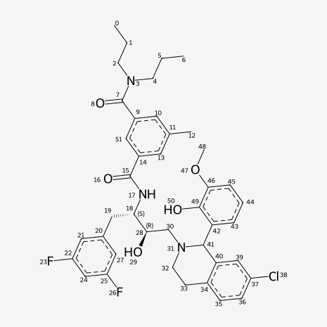 CCCN(CCC)C(=O)c1cc(C)cc(C(=O)N[C@@H](Cc2cc(F)cc(F)c2)[C@H](O)CN2CCc3ccc(Cl)cc3C2c2cccc(OC)c2O)c1